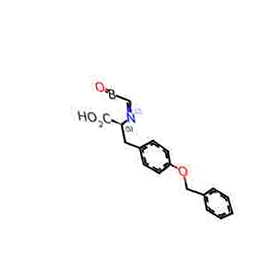 O=B/C=N\[C@@H](Cc1ccc(OCc2ccccc2)cc1)C(=O)O